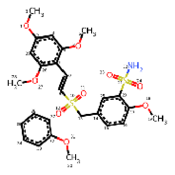 COc1cc(OC)c(C=CS(=O)(=O)Cc2ccc(OC)c(S(N)(=O)=O)c2)c(OC)c1.COc1ccccc1